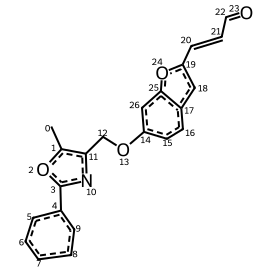 Cc1oc(-c2ccccc2)nc1COc1ccc2cc(/C=C/C=O)oc2c1